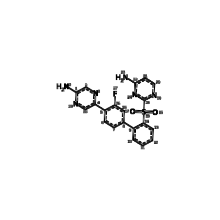 Nc1cnc(-c2ccc(-c3ccccc3S(=O)(=O)c3nccc(N)n3)cc2F)cn1